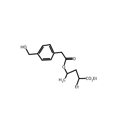 CCOC(=O)C(CC)CC(C)OC(=O)Cc1ccc(CO)cc1